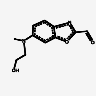 CN(CCO)c1ccc2nc(C=O)oc2c1